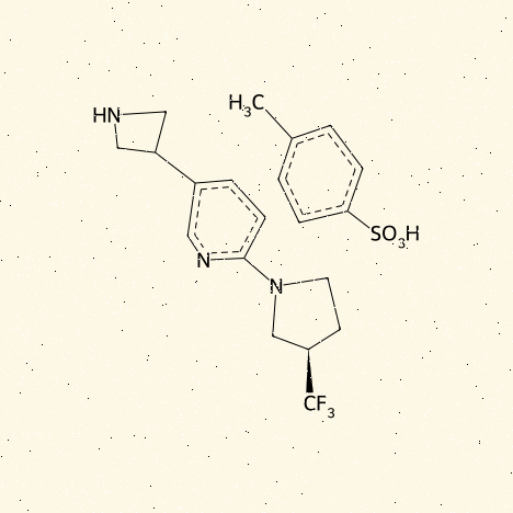 Cc1ccc(S(=O)(=O)O)cc1.FC(F)(F)[C@@H]1CCN(c2ccc(C3CNC3)cn2)C1